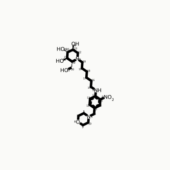 O=[N+]([O-])c1cc(CN2CCOCC2)ccc1NCCCCCCN1C[C@H](O)[C@@H](O)[C@H](O)[C@H]1CO